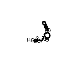 C/C(=C\C=C\[C@@H](C)COC(=O)N1CC[C@@H](O)C1)[C@H]1C(=O)C(=O)CCCCC[C@@H](OC(=O)N2CCN(C3CCCCCC3)CC2)/C=C/[C@@H]1C